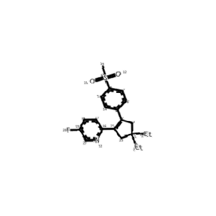 CCC1(CC)CC(c2ccc(S(C)(=O)=O)cc2)=C(c2ccc(F)cn2)C1